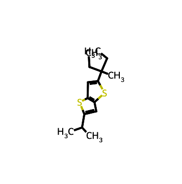 CCC(C)(CC)c1cc2sc(C(C)C)cc2s1